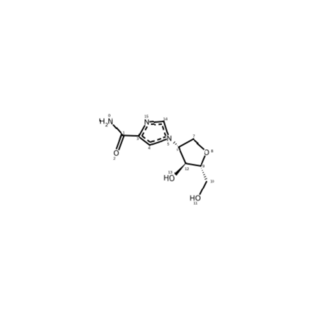 NC(=O)c1cn([C@@H]2CO[C@H](CO)[C@H]2O)cn1